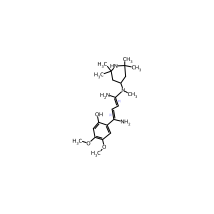 COc1cc(O)c(/C(N)=C/C=C(\N)N(C)C2CC(C)(C)NC(C)(C)C2)cc1OC